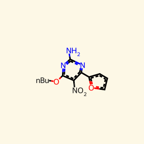 CCCCOc1nc(N)nc(-c2ccco2)c1[N+](=O)[O-]